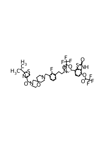 CC(C)c1nc(C(=O)N2CCOC3(CCN(Cc4cccc(CCNC[C@H](OC(=O)C(F)(F)F)c5ccc(OC(=O)C(F)(F)F)c6[nH]c(=O)sc56)c4F)CC3)C2)cs1